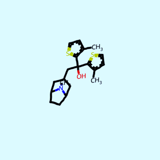 Cc1ccsc1C(O)(CC1CC2CCC(C1)N2C)c1sccc1C